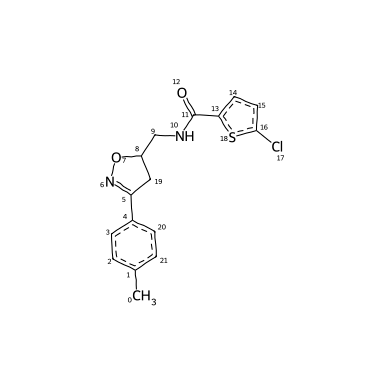 Cc1ccc(C2=NOC(CNC(=O)c3ccc(Cl)s3)C2)cc1